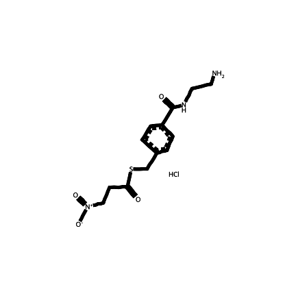 Cl.NCCNC(=O)c1ccc(CSC(=O)CC[N+](=O)[O-])cc1